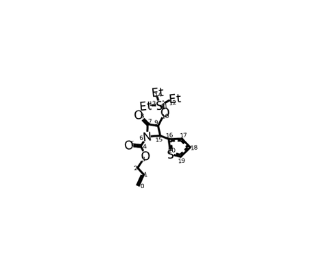 C=CCOC(=O)N1C(=O)C(O[Si](CC)(CC)CC)C1c1cccs1